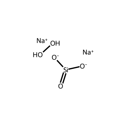 O=[Si]([O-])[O-].OO.[Na+].[Na+]